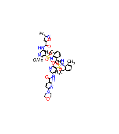 COc1ncc(NC(=O)c2cc(C(C)C)no2)cc1S(=O)(=O)N(COc1ncc(NC(=O)c2ccc(N3CCOCC3)nc2)cc1S(=O)(=O)Nc1c(C)cccc1C)c1c(C)cccc1C